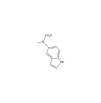 CN(C(=O)O)c1ccc2[nH]ccc2c1